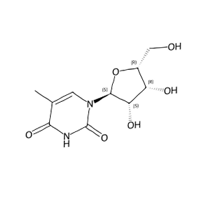 Cc1cn([C@H]2O[C@H](CO)[C@H](O)[C@@H]2O)c(=O)[nH]c1=O